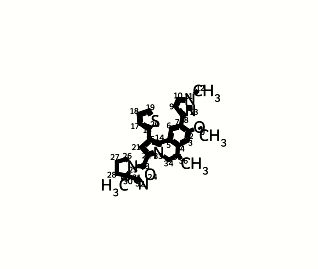 COc1cc2c(cc1-c1ccn(C)n1)-c1c(-c3cccs3)cc(C(=O)N3CCC[C@]3(C)C#N)n1CC2C